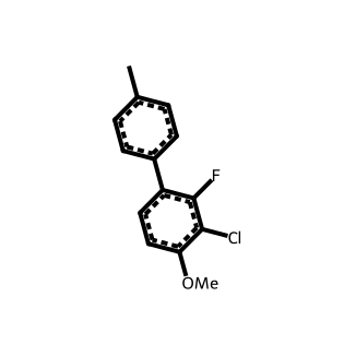 COc1ccc(-c2ccc(C)cc2)c(F)c1Cl